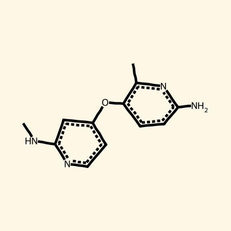 CNc1cc(Oc2ccc(N)nc2C)ccn1